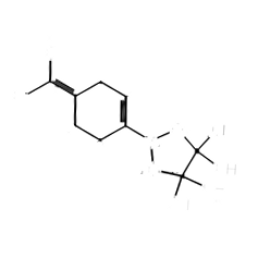 CC1(C)OB(C2=CCC(=C(Cl)Cl)CC2)OC1(C)C